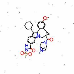 COc1ccc2c(c1)C1CC1(C(=O)N1CC3CC1CN3C)Cn1c-2c(C2CCCCC2)c2ccc(C(=O)NS(C)(=O)=O)cc21